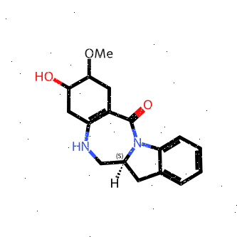 COC1CC2=C(CC1O)NC[C@@H]1Cc3ccccc3N1C2=O